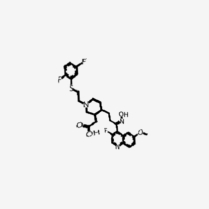 COc1ccc2ncc(F)c(C(CCC3CCN(CCSc4cc(F)ccc4F)CC3CC(=O)O)=NO)c2c1